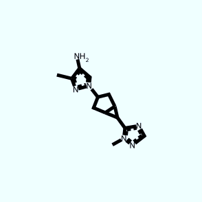 Cc1nn(C2CC3C(C2)C3c2ncnn2C)cc1N